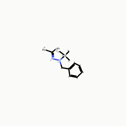 CCC/C(=N\N(Cc1ccccc1)[Si](C)(C)C)C(C)=O